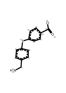 NCc1ccc(Sc2ccc(C(=O)Cl)cc2)cc1